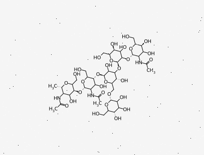 CC(=O)NC1C(O)[C@H](O)C(CO)O[C@H]1OC1C(O)[C@H](O)C(CO)O[C@@H]1OC1C(O)[C@H](O[C@H]2C(CO)O[C@@H](O[C@@H]3C(CO)O[C@@H](C)C(NC(C)=O)C3O)C(NC(C)=O)C2O)OC(CO[C@H]2OC(CO)[C@@H](O)C(O)C2O)[C@H]1O